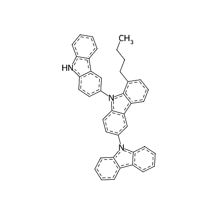 CCCCc1cccc2c3cc(-n4c5ccccc5c5ccccc54)ccc3n(-c3ccc4[nH]c5ccccc5c4c3)c12